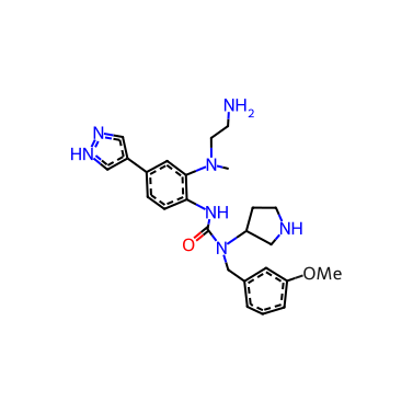 COc1cccc(CN(C(=O)Nc2ccc(-c3cn[nH]c3)cc2N(C)CCN)C2CCNC2)c1